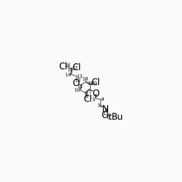 CC(C)(C)O/N=C/CCOc1c(Cl)cc(OCC=C(Cl)Cl)cc1Cl